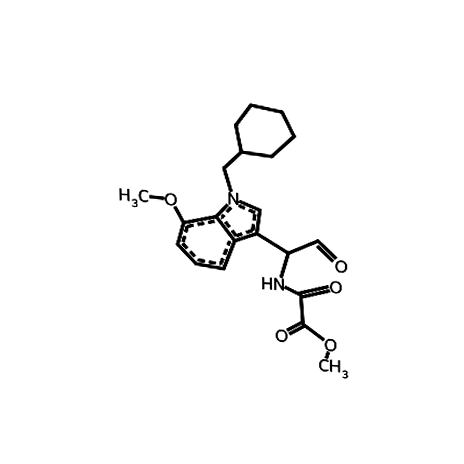 COC(=O)C(=O)NC(C=O)c1cn(CC2CCCCC2)c2c(OC)cccc12